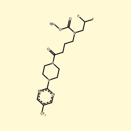 CC(C)(C)OC(=O)N(CCCC(=O)N1CCN(c2ncc(C(F)(F)F)cn2)CC1)CC(F)F